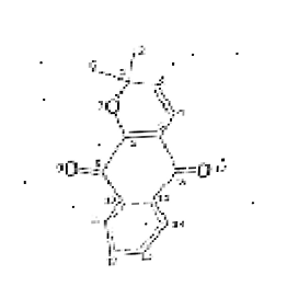 CC1(C)C=CC2=C(O1)C(=O)c1ccccc1C2=O